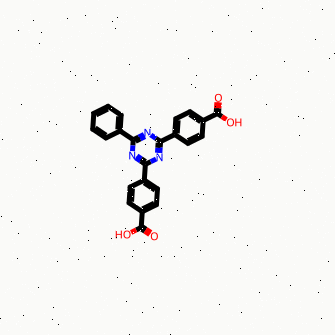 O=C(O)c1ccc(-c2nc(-c3ccccc3)nc(-c3ccc(C(=O)O)cc3)n2)cc1